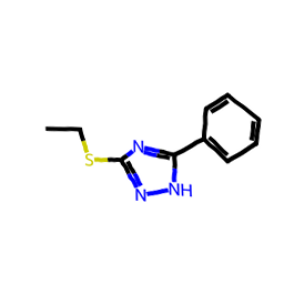 CCSc1n[nH]c(-c2ccccc2)n1